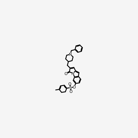 CC1=CC=C(S(=O)(=O)Oc2ccc3cc4n(c3c2)C(=O)C(CC2CCN(Cc3ccccc3)CC2)=C4)CC1